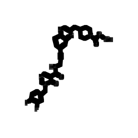 CC(C)(C)OC(=O)N1CCC(Cc2cnc3ccc(C#CCNC(=O)c4cncn(Cc5ccc(F)c(F)c5)c4=O)cc3n2)CC1